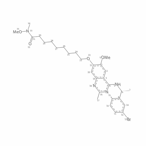 COc1cc2c(N[C@H](C)c3cccc(Br)c3)nc(C)nc2cc1OCCCCCCCCC(=O)N(C)OC